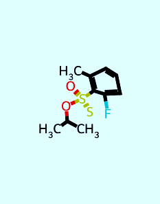 Cc1cccc(F)c1S(=O)(=S)OC(C)C